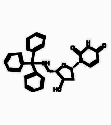 O=c1ccn([C@@H]2CC(O)[C@H](CNC(c3ccccc3)(c3ccccc3)c3ccccc3)O2)c(=O)[nH]1